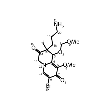 COCOC1c2c(OC)c(=O)c(Br)cn2CC(=O)C1(C)CCCN